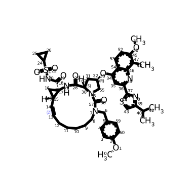 COc1ccc(CN2CCCCC/C=C\[C@@H]3C[C@@]3(C(=O)NS(=O)(=O)C3CC3)NC(=O)[C@@H]3C[C@@H](Oc4cc(-c5nc(C(C)C)cs5)nc5c(C)c(OC)ccc45)CN3C2=O)cc1